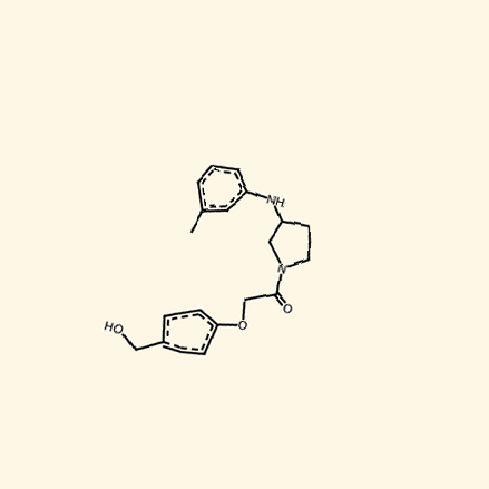 Cc1cccc(NC2CCN(C(=O)COc3ccc(CO)cc3)C2)c1